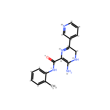 Cc1ccccc1NC(=O)C1=C(N)NCC(c2cccnc2)=N1